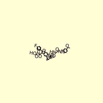 CC(=O)c1cccc(CNC(=O)CNC(=O)CN(c2cc3oc(-c4ccc(F)cc4)c(C(=O)NC(=O)O)c3cc2C2CC2)S(C)(=O)=O)c1